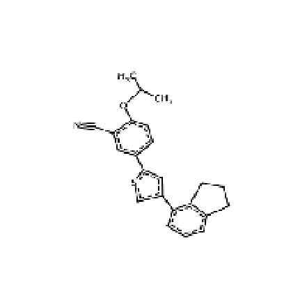 CC(C)Oc1ccc(-c2cc(-c3cccc4c3CCC4)cs2)cc1C#N